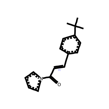 CC(C)(C)c1ccc(/C=C/C(=O)n2cccc2)cc1